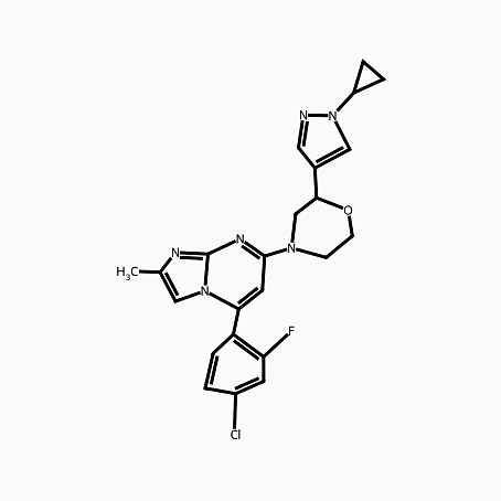 Cc1cn2c(-c3ccc(Cl)cc3F)cc(N3CCOC(c4cnn(C5CC5)c4)C3)nc2n1